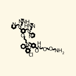 NCCOCCOCCNC(=O)c1ccc(CN(CCCCOc2cc(CN(Cc3ccccn3)Cc3ncc[nH]3)cc(CN(Cc3ccccn3)Cc3ncc[nH]3)c2)C(=O)C2(c3ccc(Cl)cc3)CCCCC2)cc1